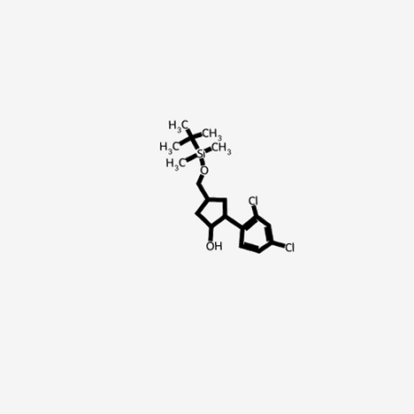 CC(C)(C)[Si](C)(C)OCC1CC(O)C(c2ccc(Cl)cc2Cl)C1